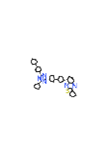 c1ccc(-c2ccc(-c3nc(-c4ccccc4)nc(-c4ccc(-c5ccc(-c6cccc7nc8c(nc67)sc6ccccc68)cc5)cc4)n3)cc2)cc1